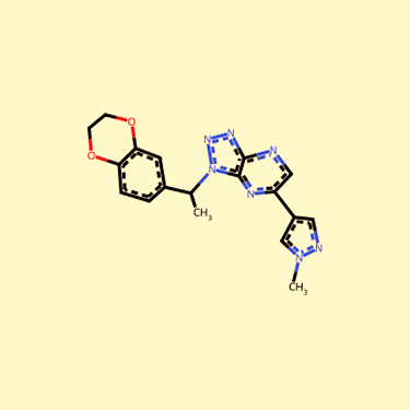 CC(c1ccc2c(c1)OCCO2)n1nnc2ncc(-c3cnn(C)c3)nc21